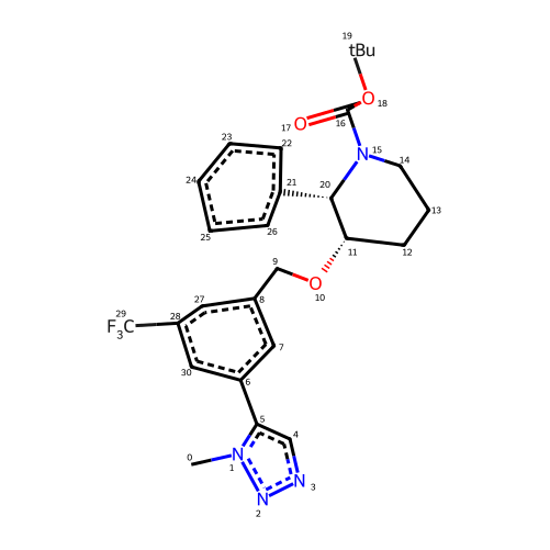 Cn1nncc1-c1cc(CO[C@H]2CCCN(C(=O)OC(C)(C)C)[C@H]2c2ccccc2)cc(C(F)(F)F)c1